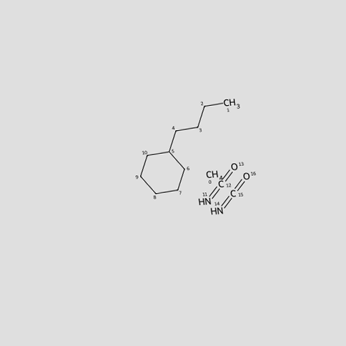 C.CCCCC1CCCCC1.N=C=O.N=C=O